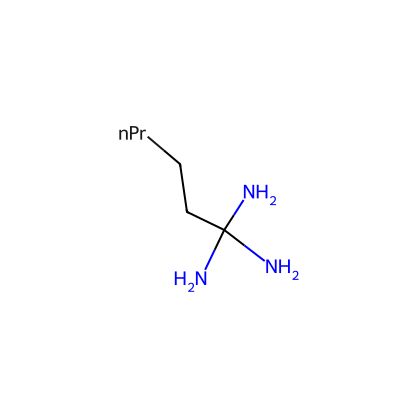 CCCCCC(N)(N)N